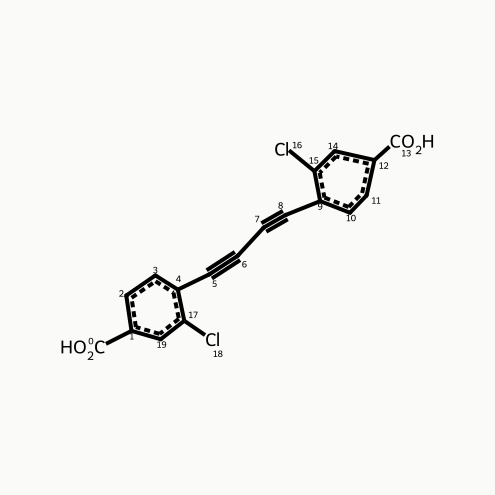 O=C(O)c1ccc(C#CC#Cc2ccc(C(=O)O)cc2Cl)c(Cl)c1